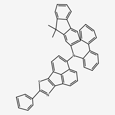 CC1(C)c2ccccc2-c2ccc(N(c3ccccc3-c3ccccc3)c3ccc4c5c(cccc35)-c3nc(-c5ccccc5)sc3-4)cc21